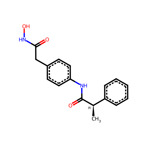 C[C@@H](C(=O)Nc1ccc(CC(=O)NO)cc1)c1ccccc1